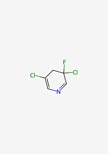 FC1(Cl)C=NC=C(Cl)C1